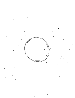 [C]1=CCCC=CCCCC=CCC1